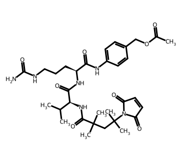 CC(=O)OCc1ccc(NC(=O)[C@H](CCCNC(N)=O)NC(=O)[C@@H](NC(=O)C(C)(C)CC(C)(C)N2C(=O)C=CC2=O)C(C)C)cc1